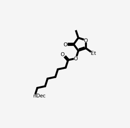 CCCCCCCCCCCCCCCCC(=O)OC1=C(CC)OC(C)C1=O